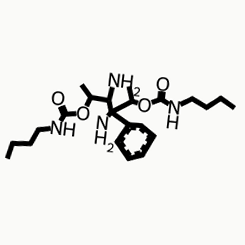 CCCCNC(=O)OC(C)C(N)C(N)(c1ccccc1)C(C)OC(=O)NCCCC